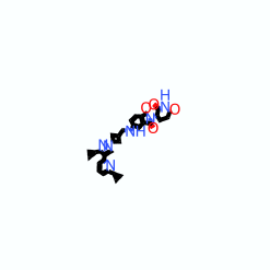 O=C1CCC(N2C(=O)c3ccc(NCC4CC(n5cc(-c6cccc(C7CC7)n6)c(C6CC6)n5)C4)cc3C2=O)C(=O)N1